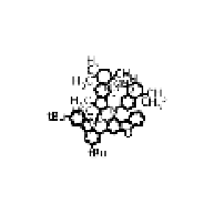 CC(C)(C)c1ccc2c(c1)c1cc(C(C)(C)C)cc3c1n2B1C2=C(c4cc5c(cc4C2(C)C)C(C)(C)CCC5(C)C)N(c2ccc4c(c2)C(C)(C)CCC4(C)C)c2c1c-3cc1oc3ccccc3c21